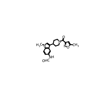 Cc1cc(C(=O)N2CCC(c3cn(C)c4ccc(NC=O)cc34)CC2)no1